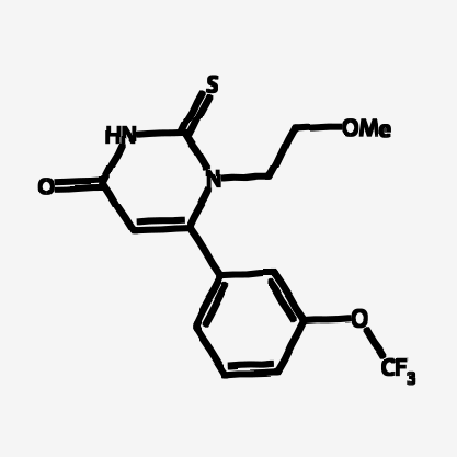 COCCn1c(-c2cccc(OC(F)(F)F)c2)cc(=O)[nH]c1=S